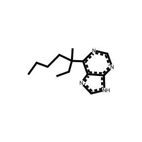 CCCCC(C)(CC)c1ncnc2[nH]cnc12